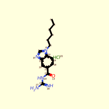 CCCCCCn1cnc2cc(C(=O)NC(=N)N)ccc21.Cl